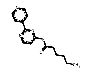 CCCCCC(=O)Nc1ccnc(-c2ccncc2)n1